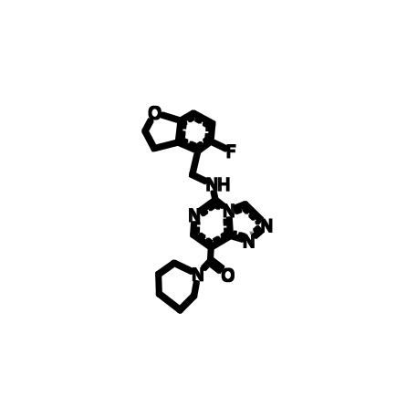 O=C(c1cnc(NCc2c(F)ccc3c2CCO3)n2cnnc12)N1CCCCC1